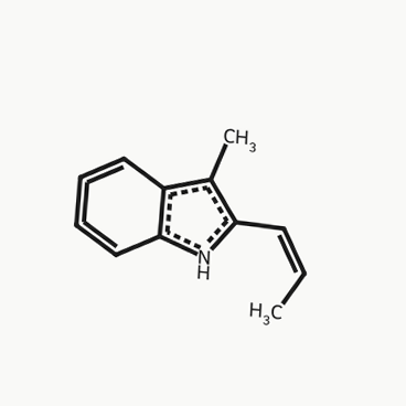 C/C=C\c1[nH]c2c(c1C)C=C=C=C2